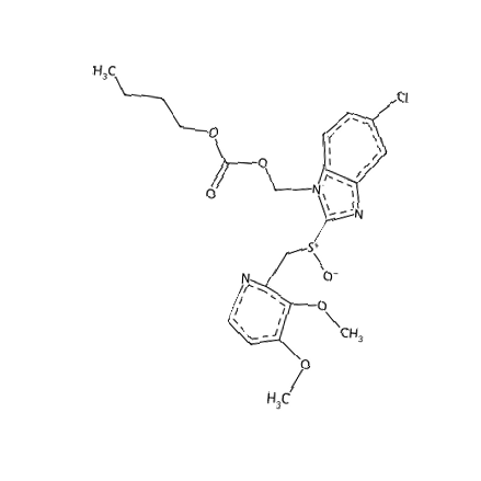 CCCCOC(=O)OCn1c([S+]([O-])Cc2nccc(OC)c2OC)nc2cc(Cl)ccc21